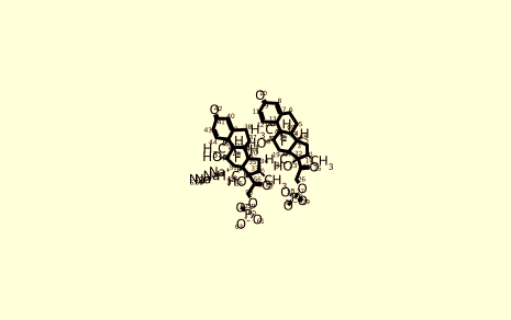 C[C@@H]1C[C@H]2[C@@H]3CCC4=CC(=O)C=C[C@]4(C)[C@@]3(F)[C@@H](O)C[C@]2(C)[C@@]1(O)C(=O)COP(=O)([O-])[O-].C[C@@H]1C[C@H]2[C@@H]3CCC4=CC(=O)C=C[C@]4(C)[C@@]3(F)[C@@H](O)C[C@]2(C)[C@@]1(O)C(=O)COP(=O)([O-])[O-].[Na+].[Na+].[Na+].[Na+]